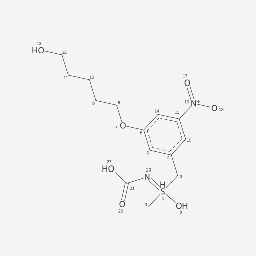 C[SH](O)(Cc1cc(OCCCCCO)cc([N+](=O)[O-])c1)=NC(=O)O